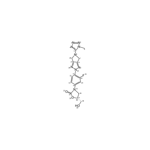 Cn1nnnc1N1Cc2nn(-c3ccc(N4C[C@H](CO)OC4=O)cc3F)nc2C1